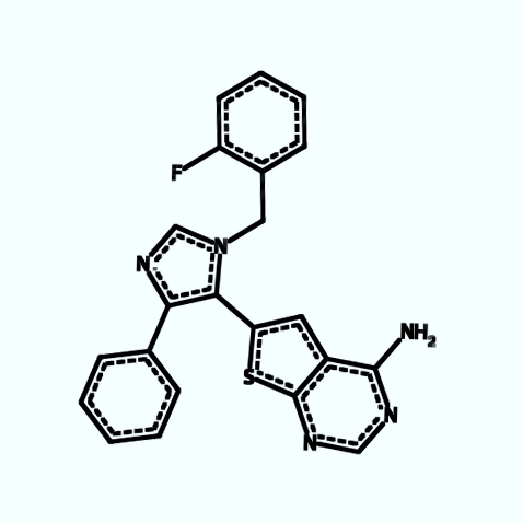 Nc1ncnc2sc(-c3c(-c4ccccc4)ncn3Cc3ccccc3F)cc12